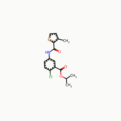 Cc1ccsc1C(=O)Nc1ccc(Cl)c(C(=O)OC(C)C)c1